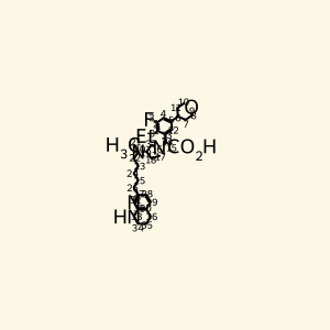 CCc1c(F)cc(C2CCOCC2)cc1[C@@H](C(=O)O)N1CC[C@@H](N(C)CCCCCc2ccc3c(n2)NCCC3)C1